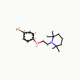 CC1(C)CCCC(C)(C)N1CCOc1ccc(Br)cc1